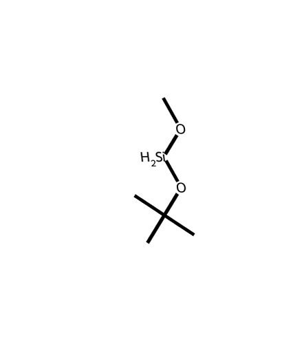 CO[SiH2]OC(C)(C)C